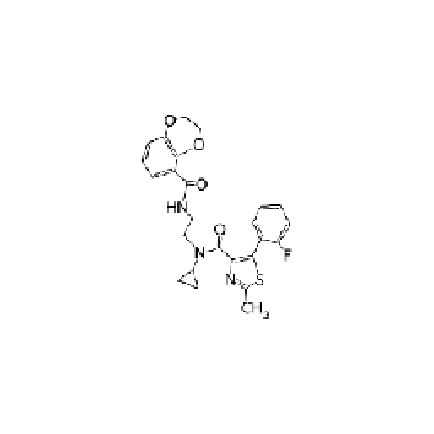 Cc1nc(C(=O)N(CCNC(=O)c2cccc3c2OCCO3)C2CC2)c(-c2ccccc2F)s1